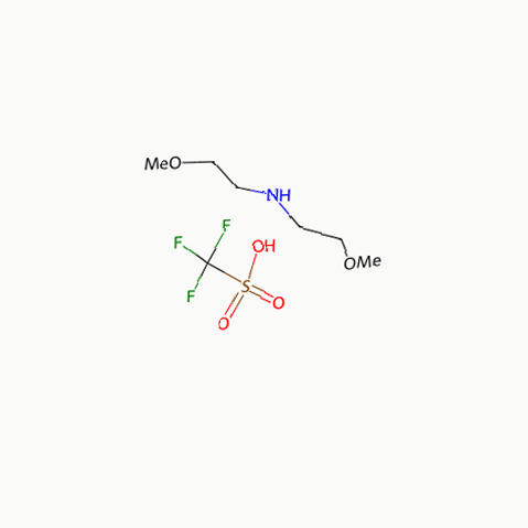 COCCNCCOC.O=S(=O)(O)C(F)(F)F